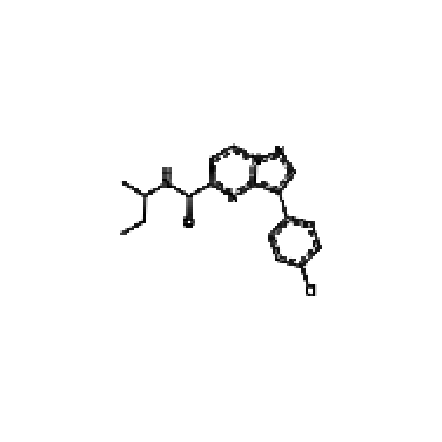 CCC(C)NC(=O)c1ccn2ncc(-c3ccc(Cl)cc3)c2n1